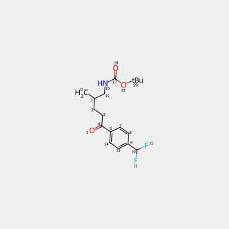 CC(CCC(=O)c1ccc(C(F)F)cc1)CNC(=O)OC(C)(C)C